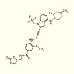 COc1cc(C(=O)NCC2COC(=O)O2)ccc1NCC#Cc1cc2c(NC3CCN(C)CC3F)cccc2n1CC(F)(F)F